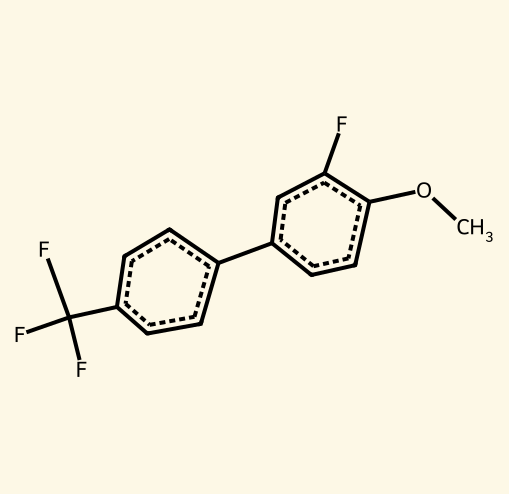 COc1ccc(-c2ccc(C(F)(F)F)cc2)cc1F